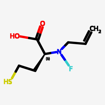 C=CCN(F)[C@@H](CCS)C(=O)O